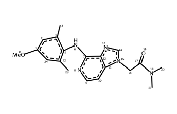 COc1cc(C)c(Nc2nccc3c2ncn3CC(=O)N(C)C)c(C)c1